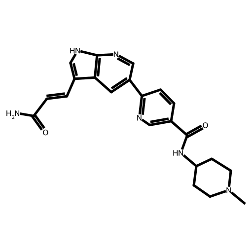 CN1CCC(NC(=O)c2ccc(-c3cnc4[nH]cc(/C=C/C(N)=O)c4c3)nc2)CC1